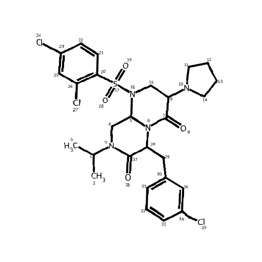 CC(C)N1CC2N(C(=O)C(N3CCCC3)CN2S(=O)(=O)c2ccc(Cl)cc2Cl)C(Cc2cccc(Cl)c2)C1=O